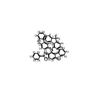 CC1(C)c2ccccc2-c2c(N(c3ccc4sc5ccccc5c4c3)c3c4nc(-c5ccccc5)oc4cc4oc5ccccc5c34)cccc21